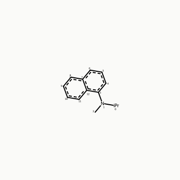 CC(C)N(C)c1cccc2[c]cccc12